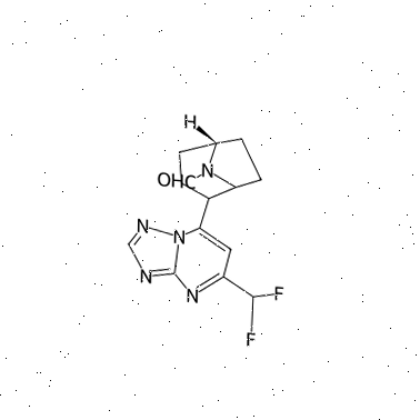 O=CN1C2CC[C@H]1CCC2c1cc(C(F)F)nc2ncnn12